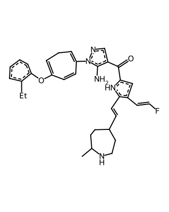 CCc1ccccc1OC1=CCC=C(n2ncc(C(=O)c3cc(/C=C/F)c(/C=C/C4CCNC(C)CC4)[nH]3)c2N)C=C1